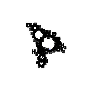 CO[C@]1(CN2CCN3CCCC[C@H]3C2)/C=C/C[C@H](C)[C@@H](C)S(=O)(=O)NC(=O)c2ccc3c(c2)N(CCCCc2cc(Cl)ccc2CO3)C[C@@H]2CC[C@H]21